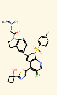 Cc1ccc(S(=O)(=O)n2c(-c3ccc4c(c3)CCN4C(=O)CN(C)C)cc3c(-c4cnc(C5(O)CCC5)s4)c(Cl)cnc32)cc1